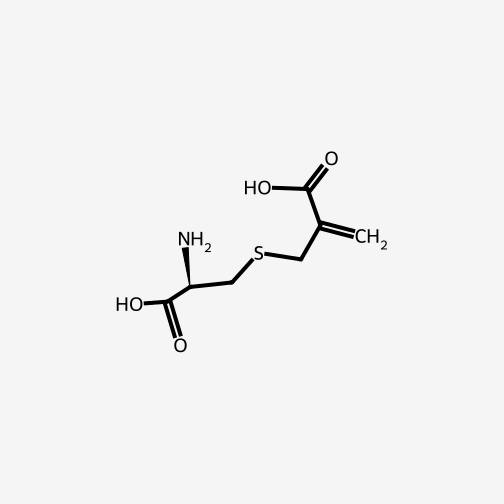 C=C(CSC[C@H](N)C(=O)O)C(=O)O